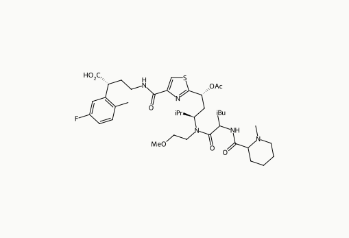 CCC(C)C(NC(=O)C1CCCCN1C)C(=O)N(CCOC)[C@H](C[C@@H](OC(C)=O)c1nc(C(=O)NCC[C@@H](C(=O)O)c2cc(F)ccc2C)cs1)C(C)C